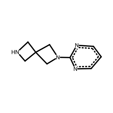 c1cnc(N2CC3(CNC3)C2)nc1